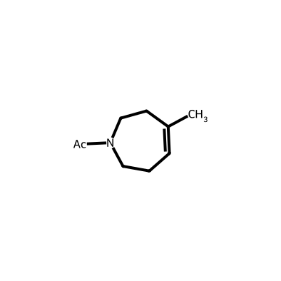 CC(=O)N1CCC=C(C)CC1